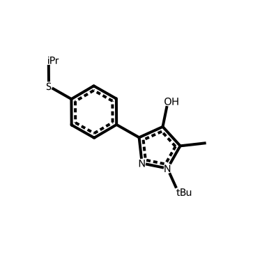 Cc1c(O)c(-c2ccc(SC(C)C)cc2)nn1C(C)(C)C